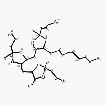 CCC1OC(C)(CCC(C)=O)OC1CC1OC(C)(CCC(C)=O)OC1CC1OC(C)(CCC(C)=O)OC1CCCCCCCC(C)=O